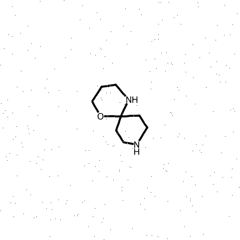 C1CNC2(CCNCC2)OC1